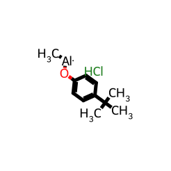 Cl.[CH3][Al][O]c1ccc(C(C)(C)C)cc1